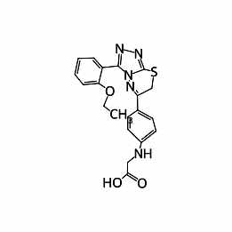 CCOc1ccccc1-c1nnc2n1N=C(c1ccc(NCC(=O)O)cc1)CS2